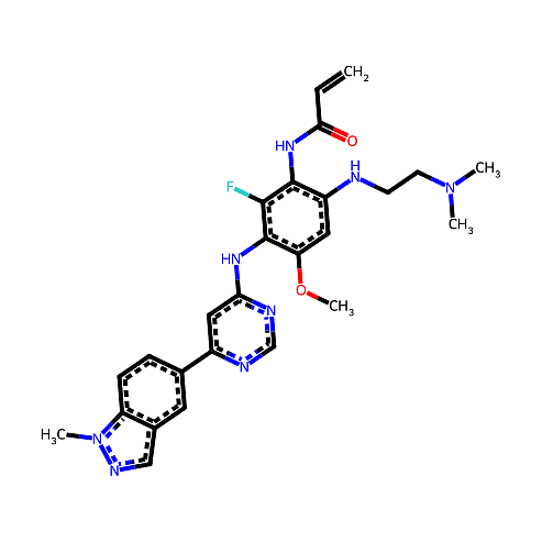 C=CC(=O)Nc1c(NCCN(C)C)cc(OC)c(Nc2cc(-c3ccc4c(cnn4C)c3)ncn2)c1F